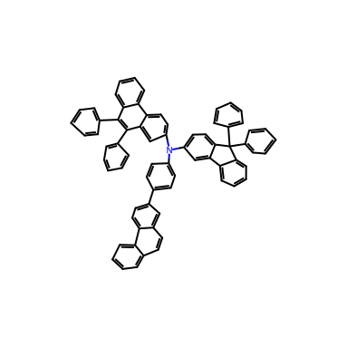 c1ccc(-c2c(-c3ccccc3)c3cc(N(c4ccc(-c5ccc6c(ccc7ccccc76)c5)cc4)c4ccc5c(c4)-c4ccccc4C5(c4ccccc4)c4ccccc4)ccc3c3ccccc23)cc1